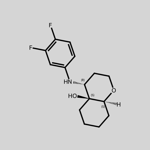 O[C@]12CCCC[C@@H]1OCC[C@H]2Nc1ccc(F)c(F)c1